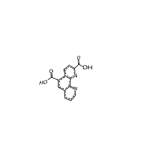 O=C(O)c1ccc2c(C(=O)O)cc3cccnc3c2n1